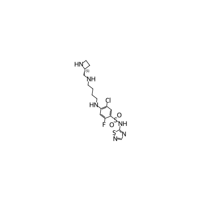 O=S(=O)(Nc1ncns1)c1cc(Cl)c(NCCCCNC[C@@H]2CCN2)cc1F